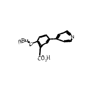 CCCCOc1ccc(-c2ccncc2)cc1C(=O)O